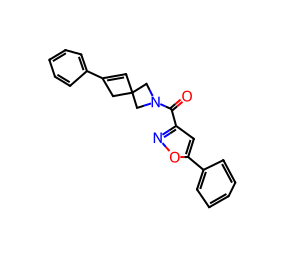 O=C(c1cc(-c2ccccc2)on1)N1CC2(C=C(c3ccccc3)C2)C1